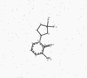 Nc1cccn(C2CCC(F)(F)C2)c1=O